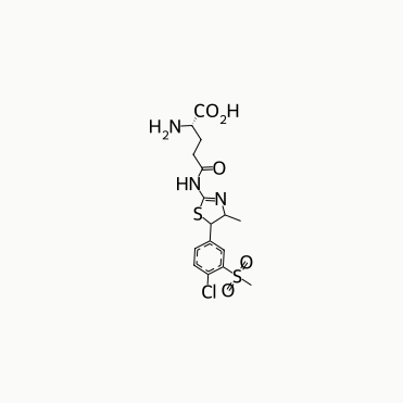 CC1N=C(NC(=O)CC[C@H](N)C(=O)O)SC1c1ccc(Cl)c(S(C)(=O)=O)c1